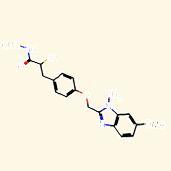 COc1ccc2nc(COc3ccc(CC(S)C(=O)NC=O)cc3)n(C)c2c1